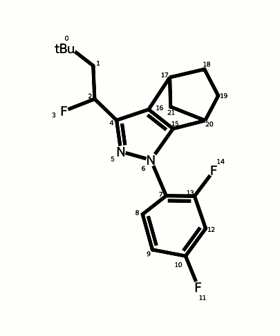 CC(C)(C)CC(F)c1nn(-c2ccc(F)cc2F)c2c1C1CCC2C1